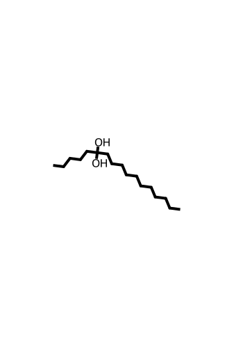 CCCCCCCCCCCC(O)(O)CCCCC